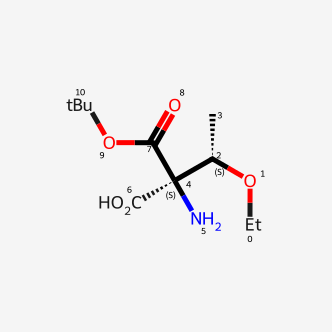 CCO[C@@H](C)[C@](N)(C(=O)O)C(=O)OC(C)(C)C